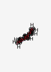 O=C1NC(=O)C(N=Nc2ccc(N=Nc3ccc(-c4ccc(N=Nc5ccc(N=NC6C(=O)NC(=O)NC6=O)c(S(=O)(=O)O)c5)cc4S(=O)(=O)O)c(S(=O)(=O)O)c3)cc2S(=O)(=O)O)C(=O)N1